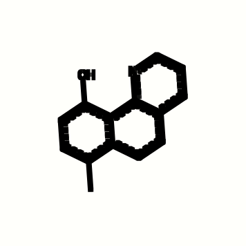 Cc1ccc(O)c2c1ccc1cccnc12